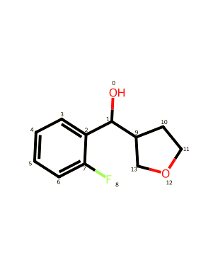 OC(c1ccccc1F)C1CCOC1